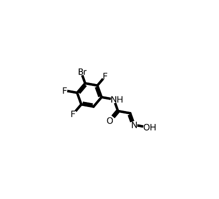 O=C(/C=N/O)Nc1cc(F)c(F)c(Br)c1F